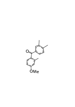 COc1ccc(C(=O)c2ccc(C)c(C)c2)c(C)c1